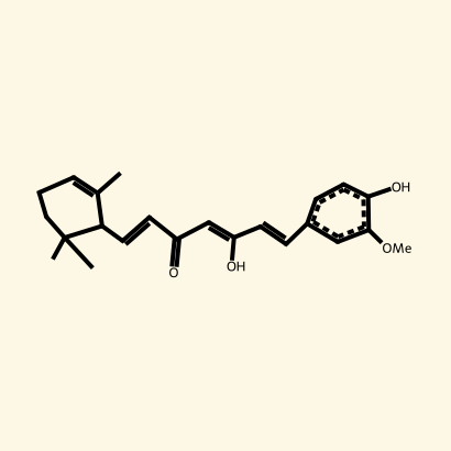 COc1cc(/C=C/C(O)=C/C(=O)/C=C/C2C(C)=CCCC2(C)C)ccc1O